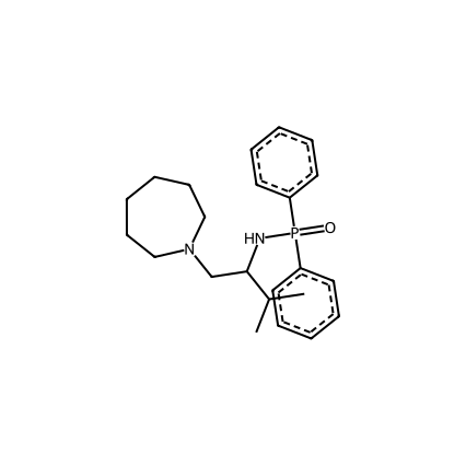 CC(C)C(CN1CCCCCC1)NP(=O)(c1ccccc1)c1ccccc1